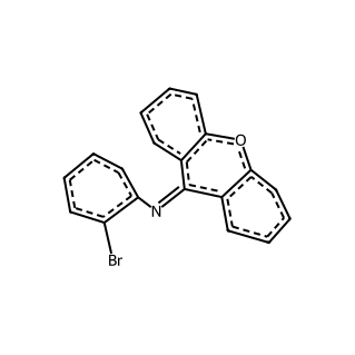 Brc1ccccc1N=c1c2ccccc2oc2ccccc12